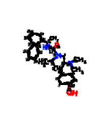 CC(C)N(C[C@H](Cc1ccc(O)cc1)N(C)C)C(=O)N[C@@H](C)c1cccc2ccccc12